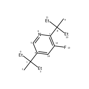 CCC(C)(CC)c1cnc(C(C)(CC)CC)c(F)c1